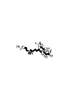 [2H]C([2H])=C([2H])C([2H])([2H])N(CCCCc1cn(CC=C)nn1)[C@@H](C)C(=O)OC